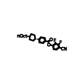 CCCCCCCC[C@H]1CC[C@H](c2ccc(C(=O)Oc3ccc(C#N)c(F)c3F)cc2)CC1